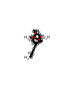 NCCCC[C@@H]1NC(=O)CSC[C@@H](C(=O)NCCOCCOCCOCCNC(=O)COCC(N)=O)NC(=O)[C@H](Cc2ccccc2)NC(=O)[C@@H]2CSSC[C@H](NC1=O)C(=O)N[C@@H](CCCNC(N)=O)C(=O)NCC(=O)N[C@@H](CC(=O)O)C(=O)N2